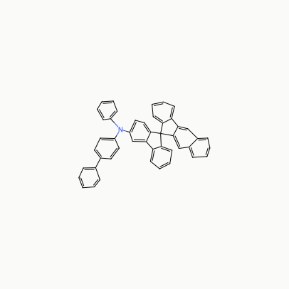 c1ccc(-c2ccc(N(c3ccccc3)c3ccc4c(c3)-c3ccccc3C43c4ccccc4-c4cc5ccccc5cc43)cc2)cc1